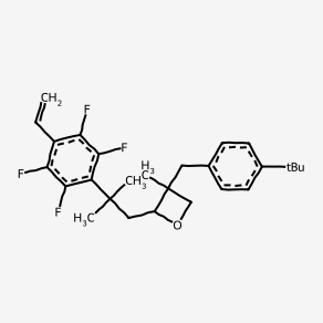 C=Cc1c(F)c(F)c(C(C)(C)CC2OCC2(C)Cc2ccc(C(C)(C)C)cc2)c(F)c1F